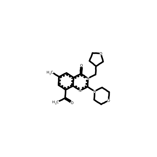 CC(=O)c1cc(C)cc2c(=O)n(CC3CCOC3)c(N3CCOCC3)nc12